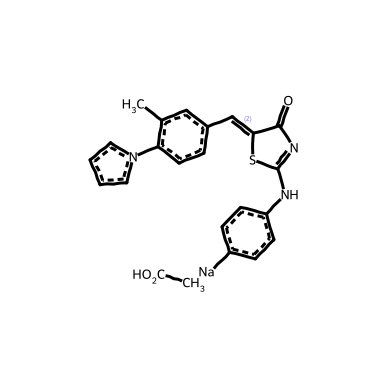 CC(=O)O.Cc1cc(/C=C2\SC(Nc3cc[c]([Na])cc3)=NC2=O)ccc1-n1cccc1